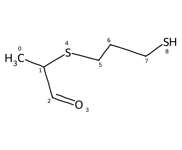 CC(C=O)SCCCS